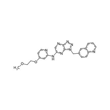 COCCOc1ccnc(Nc2cnc3nnn(Cc4ccc5ncccc5c4)c3n2)c1